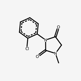 CN1CC(=O)N(c2ccccc2Cl)C1=O